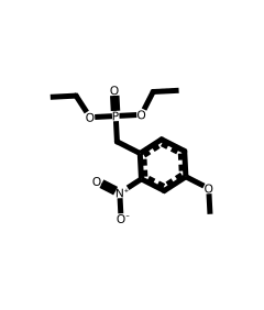 CCOP(=O)(Cc1ccc(OC)cc1[N+](=O)[O-])OCC